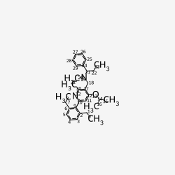 CCc1cccc(CC)c1-c1cc(OC(C)C)c(CN(C)C(CC)c2ccccc2)c(C)n1